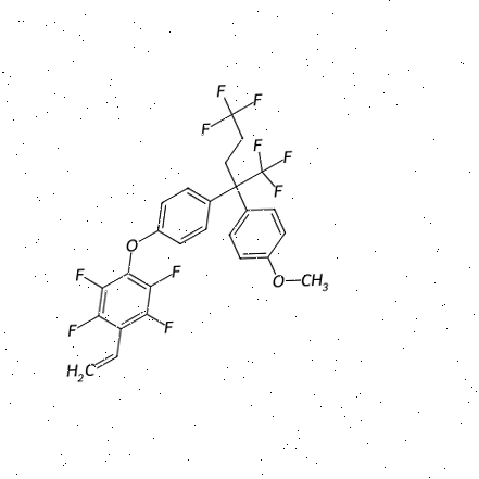 C=Cc1c(F)c(F)c(Oc2ccc(C(CCC(F)(F)F)(c3ccc(OC)cc3)C(F)(F)F)cc2)c(F)c1F